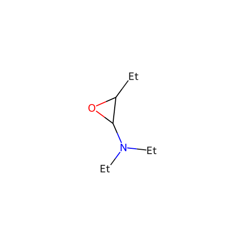 CCC1OC1N(CC)CC